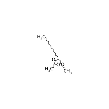 CCCCCCCCCCC=CC(CC(=O)OCCC)C(=O)OCCC